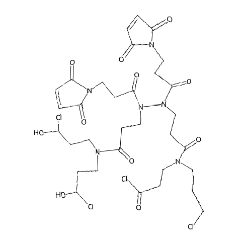 O=C(Cl)CCN(CCCCl)C(=O)CCN(C(=O)CCN1C(=O)C=CC1=O)N(CCC(=O)N(CCC(O)Cl)CCC(O)Cl)C(=O)CCN1C(=O)C=CC1=O